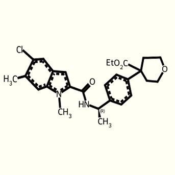 CCOC(=O)C1(c2ccc([C@@H](C)NC(=O)c3cc4cc(Cl)c(C)cc4n3C)cc2)CCOCC1